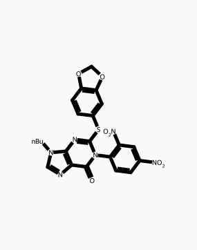 CCCCn1cnc2c(=O)n(-c3ccc([N+](=O)[O-])cc3[N+](=O)[O-])c(Sc3ccc4c(c3)OCO4)nc21